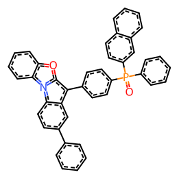 O=P(c1ccccc1)(c1ccc(-c2c3cc(-c4ccccc4)ccc3n3c2oc2ccccc23)cc1)c1ccc2ccccc2c1